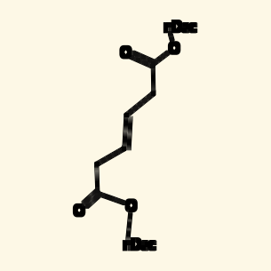 CCCCCCCCCCOC(=O)CC=CCC(=O)OCCCCCCCCCC